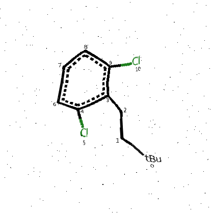 CC(C)(C)CCc1c(Cl)cccc1Cl